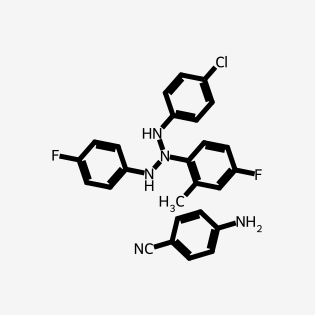 Cc1cc(F)ccc1N(Nc1ccc(F)cc1)Nc1ccc(Cl)cc1.N#Cc1ccc(N)cc1